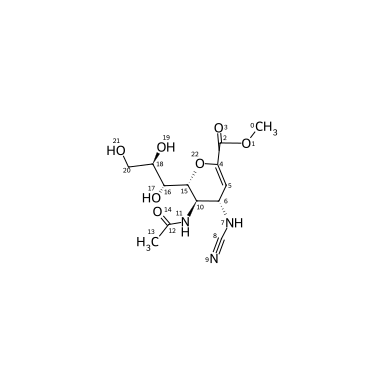 COC(=O)C1=C[C@H](NC#N)[C@@H](NC(C)=O)[C@H]([C@H](O)[C@H](O)CO)O1